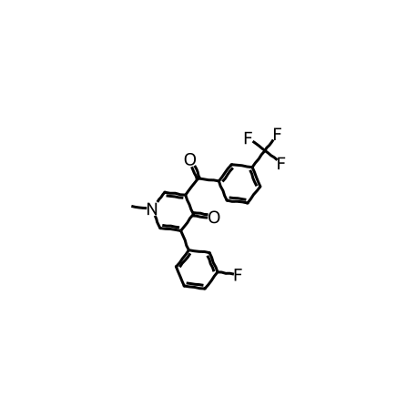 Cn1cc(C(=O)c2cccc(C(F)(F)F)c2)c(=O)c(-c2cccc(F)c2)c1